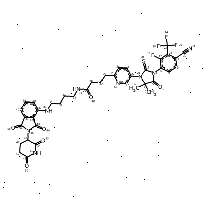 CC1(C)C(=O)N(c2ccc(C#N)c(C(F)(F)F)c2F)C(=S)N1c1ccc(CCCC(=O)NCCCCNc2cccc3c2C(=O)N(C2CCC(=O)NC2=O)C3=O)nc1